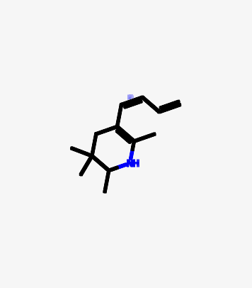 C=C/C=C\C1=C(C)NC(C)C(C)(C)C1